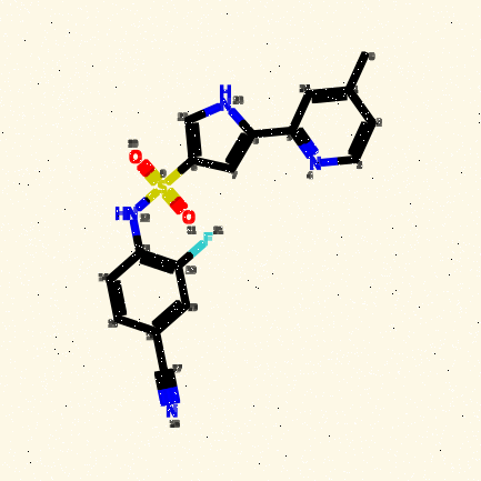 Cc1ccnc(-c2cc(S(=O)(=O)Nc3ccc(C#N)cc3F)c[nH]2)c1